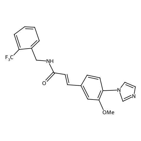 COc1cc(/C=C/C(=O)NCc2ccccc2C(F)(F)F)ccc1-n1ccnc1